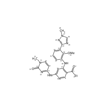 CCC(=O)c1cnc(Nc2ccn(C)c(=O)n2)cc1Nc1cccc(-c2ncn(C)n2)c1OC